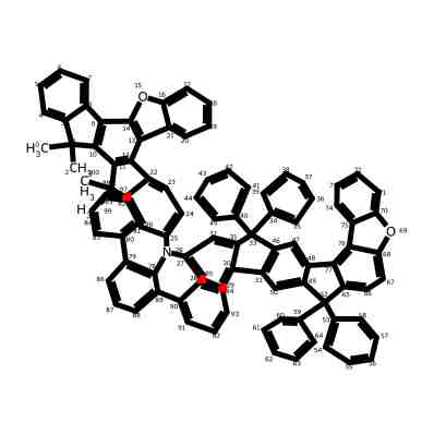 CC1(C)c2ccccc2-c2c1c1c(c3c2oc2ccccc23)-c2ccc(N(c3ccc4c(c3)C(c3ccccc3)(c3ccccc3)c3cc5c(cc3-4)C(c3ccccc3)(c3ccccc3)c3ccc4oc6ccccc6c4c3-5)c3c(-c4ccccc4)cccc3-c3ccccc3)cc2C1(C)C